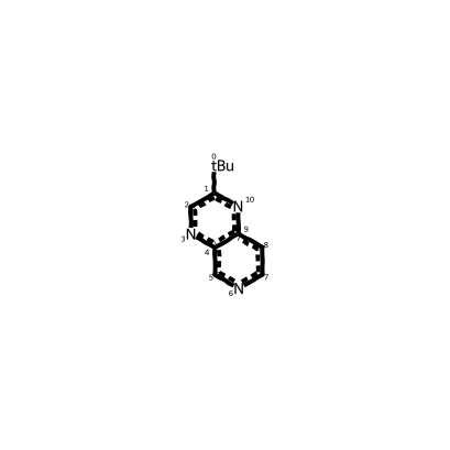 CC(C)(C)c1cnc2cnccc2n1